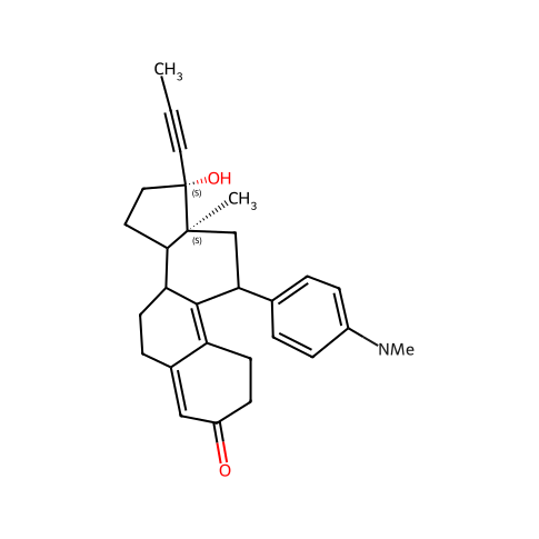 CC#C[C@]1(O)CCC2C3CCC4=CC(=O)CCC4=C3C(c3ccc(NC)cc3)C[C@@]21C